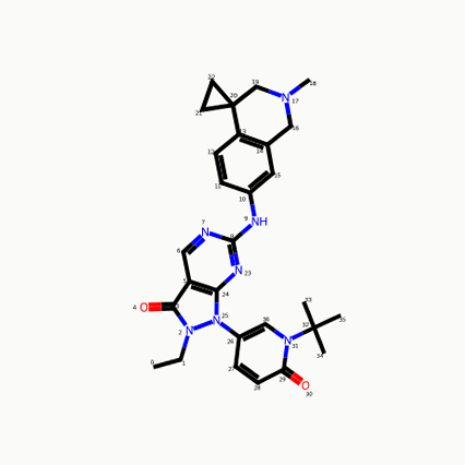 CCn1c(=O)c2cnc(Nc3ccc4c(c3)CN(C)CC43CC3)nc2n1-c1ccc(=O)n(C(C)(C)C)c1